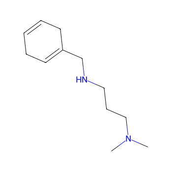 CN(C)CCCNCC1=CCC=CC1